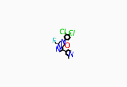 Cc1cc(-c2cnn3c2C(=O)N(c2ccc(Cl)c(Cl)c2)C[C@@H]3CF)ccn1